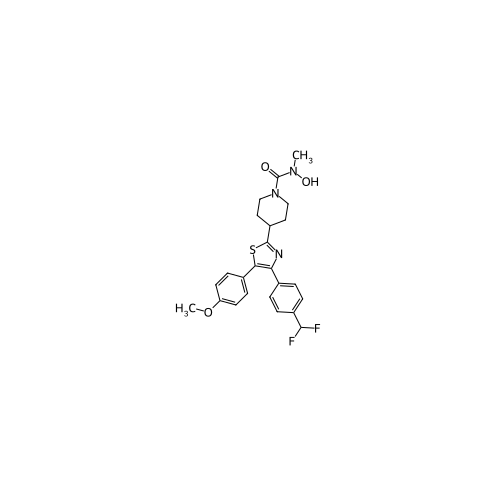 COc1ccc(-c2sc(C3CCN(C(=O)N(C)O)CC3)nc2-c2ccc(C(F)F)cc2)cc1